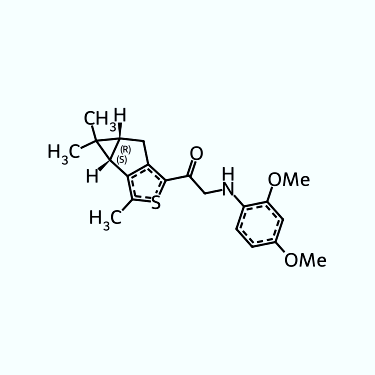 COc1ccc(NCC(=O)c2sc(C)c3c2C[C@@H]2[C@H]3C2(C)C)c(OC)c1